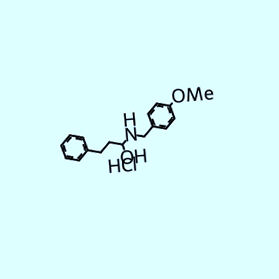 COc1ccc(CNC(O)CCc2ccccc2)cc1.Cl